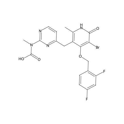 Cc1[nH]c(=O)c(Br)c(OCc2ccc(F)cc2F)c1Cc1ccnc(N(C)C(=O)O)n1